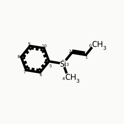 CC=C[Si](C)c1ccccc1